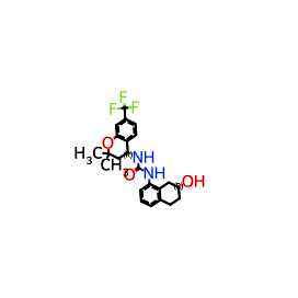 CC1(C)C[C@@H](NC(=O)Nc2cccc3c2C[C@H](O)CC3)c2ccc(C(F)(F)F)cc2O1